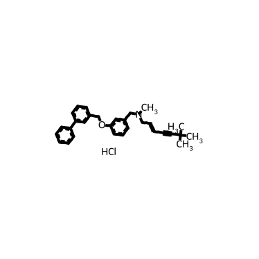 CN(CC=CC#CC(C)(C)C)Cc1cccc(OCc2cccc(-c3ccccc3)c2)c1.Cl